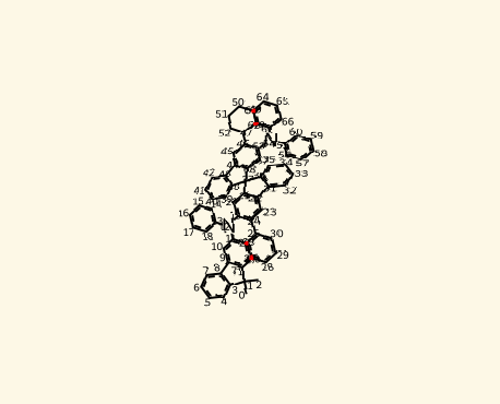 CC1(C)c2ccccc2-c2cc(N(c3ccccc3)c3cc4c(cc3-c3ccccc3)-c3ccccc3C43c4ccccc4-c4cc(C5CCCCC5)c(N(c5ccccc5)c5ccccc5)cc43)ccc21